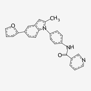 Cc1cc2cc(-c3ccco3)ccc2n1-c1ccc(NC(=O)c2cccnc2)cc1